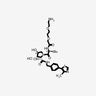 Cc1ncsc1-c1ccc(CNC(=O)[C@@H]2C[C@@H](O)CN2C(=O)[C@@H](NC(=O)COCCOCCN)C(C)(C)C)cc1.Cl.Cl